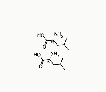 CC(C)C[C@@H](N)C(=O)O.CC(C)C[C@@H](N)C(=O)O